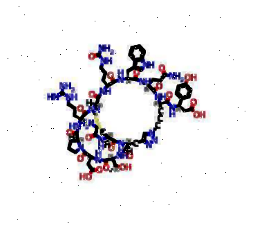 C[C@@H](O)[C@@H]1NC(=O)[C@@H]2Cc3cn(nn3)CCC[C@H](C(=O)N[C@H](CC(=O)O)c3ccc(O)cc3)NC(=O)[C@H](CCC(N)=O)NC(=O)[C@H](Cc3c[nH]c4ccccc34)NC(=O)[C@H](CCCNC(N)=O)NC(=O)[C@H](CSSC[C@H](NC(=O)CN)C(=O)N2)NC(=O)[C@H](CCCNC(=N)N)NC(=O)[C@@H]2CCCN2C(=O)[C@H](CC(=O)O)NC1=O